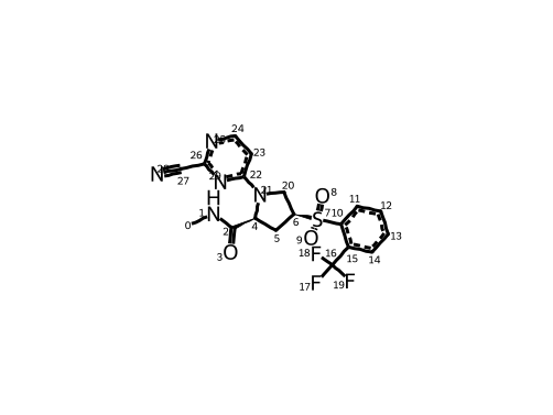 CNC(=O)[C@@H]1C[C@H](S(=O)(=O)c2ccccc2C(F)(F)F)CN1c1ccnc(C#N)n1